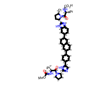 CC[C@@H]1CC[C@@H](c2nc3ccc(-c4ccc5cc(-c6ccc(-c7cnc([C@@H]8CCCN8C(=O)[C@@H](NC(=O)OC)C(C)C)[nH]7)cc6)ccc5c4)cc3[nH]2)N1C(=O)[C@@H](NC(=O)O)C(C)C